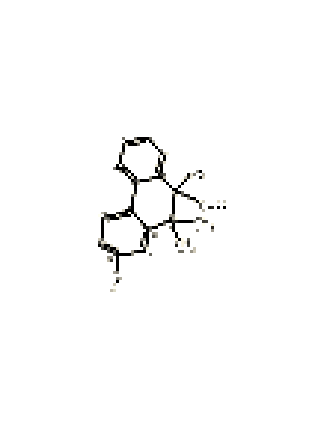 CCCCCCCCC1(CCCCCCCC)c2ccccc2-c2ccc(Br)cc2C1(C)C